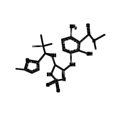 Bc1ccc(NC2=NS(=O)(=O)NC2N[C@@H](c2ccc(C)o2)C(C)(C)C)c(O)c1C(=O)N(C)C